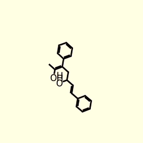 CC(O)=C(CC(O)C=Cc1ccccc1)c1ccccc1